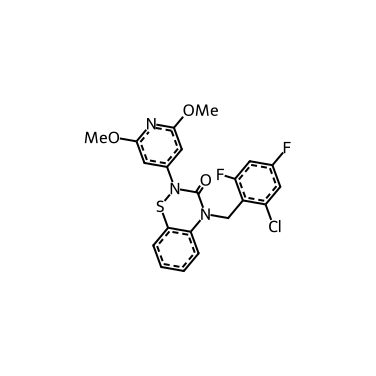 COc1cc(N2Sc3ccccc3N(Cc3c(F)cc(F)cc3Cl)C2=O)cc(OC)n1